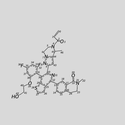 C=CC(=O)N1CCn2nc(-c3nc(-c4ccc5c(c4)C(=O)N(C)CC5)c4ccsc4c3-c3c(F)cc(F)cc3OCCO)cc2C1C